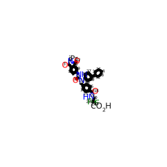 CC(C)N1C(=O)c2ccc(NC(=O)N(Cc3ccc(C(=O)NCC(F)(F)C(=O)O)cc3)c3ccc(C4CCCCC4)cc3)cc2C1=O